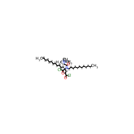 CCCCCCCCCCCCN(C(=O)C[N+](C)(C)C)[C@](CCCCCCCCCCCC)(CCC(=O)Cl)C(=O)Cl